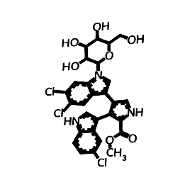 COC(=O)c1[nH]cc(-c2cn(C3OC(CO)C(O)C(O)C3O)c3cc(Cl)c(Cl)cc23)c1-c1c[nH]c2ccc(Cl)cc12